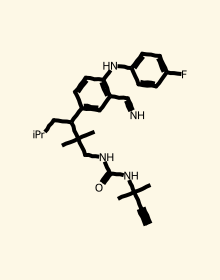 C#CC(C)(C)NC(=O)NCC(C)(C)C(CC(C)C)c1ccc(Nc2ccc(F)cc2)c(C=N)c1